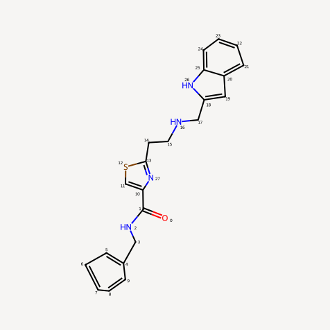 O=C(NCc1ccccc1)c1csc(CCNCc2cc3ccccc3[nH]2)n1